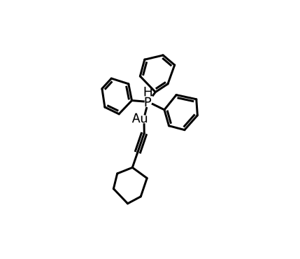 [C](#CC1CCCCC1)[Au][PH](c1ccccc1)(c1ccccc1)c1ccccc1